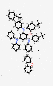 CC(C)(C)c1ccc2c(c1)B1c3cc(C(C)(C)C)ccc3N(c3ccc4c(c3)C(C)(C)c3ccccc3-4)c3cc(N(c4ccccc4)c4ccccc4)cc(c31)N2c1ccc(-c2ccc3c(c2)oc2ccccc23)cc1